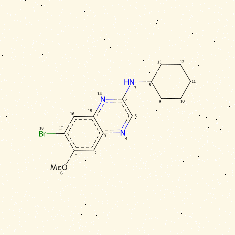 COc1cc2ncc(NC3CCCCC3)nc2cc1Br